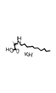 CCCCCCCCCCN[C@@H](C)C(=O)O.[KH]